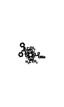 COC(=O)CO[C@@H]1[C@H]2OC(C)(C)O[C@@H]2[C@@H](OCCN(Cc2ccccc2)Cc2ccccc2)[C@@H]2OC(C)(C)O[C@@H]12